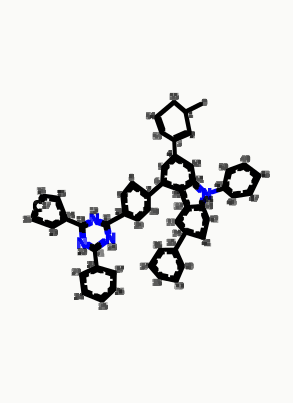 CC1C=C(c2cc(-c3ccc(-c4nc(-c5ccccc5)nc(-c5ccccc5)n4)cc3)c3c4cc(-c5ccccc5)ccc4n(-c4ccccc4)c3c2)C=CC1